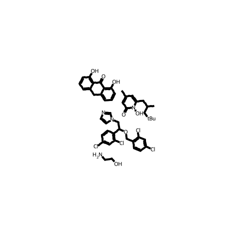 Cc1cc(CC(C)CC(C)(C)C)n(O)c(=O)c1.Clc1ccc(COC(Cn2ccnc2)c2ccc(Cl)cc2Cl)c(Cl)c1.NCCO.O=C1c2c(O)cccc2Cc2cccc(O)c21